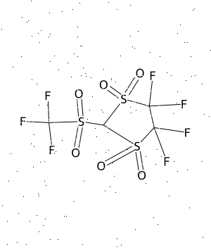 O=S(=O)(C1S(=O)(=O)C(F)(F)C(F)(F)S1(=O)=O)C(F)(F)F